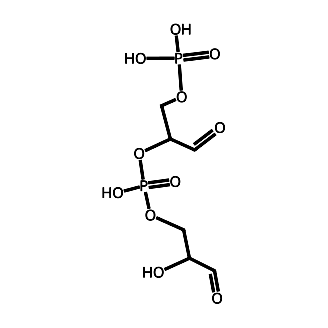 O=CC(O)COP(=O)(O)OC(C=O)COP(=O)(O)O